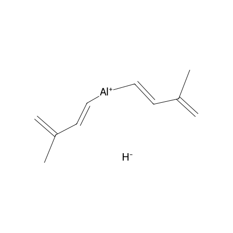 C=C(C)C=[CH][Al+][CH]=CC(=C)C.[H-]